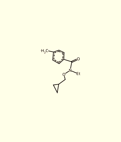 [CH2]c1ccc(C(=O)N(CC)OCC2CC2)cc1